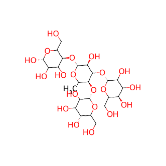 CC1O[C@H](O[C@@H]2C(CO)O[C@@H](O)C(O)C2O)[C@@H](O)C(O[C@H]2OC(CO)[C@H](O)C(O)C2O)[C@H]1O[C@@H]1OC(CO)[C@H](O)C(O)C1O